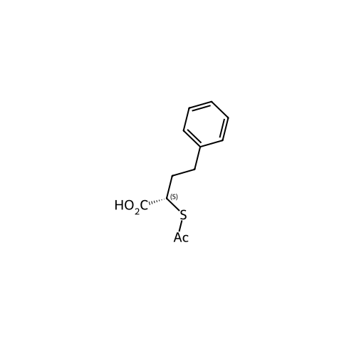 CC(=O)S[C@@H](CCc1ccccc1)C(=O)O